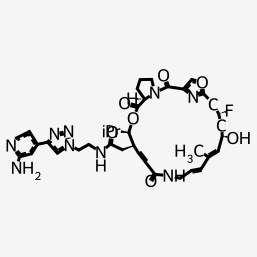 CC1=C\[C@@H](O)C[C@@H](F)Cc2nc(co2)C(=O)N2CCC[C@@H]2C(=O)O[C@H](C(C)C)[C@H](CC(=O)NCCn2cc(-c3ccnc(N)c3)nn2)/C=C/C(=O)NC\C=C\1